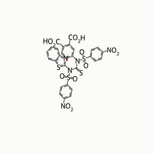 O=C(O)c1ccc(N(C(=S)N(c2nc3ccccc3s2)S(=O)(=O)c2ccc([N+](=O)[O-])cc2)S(=O)(=O)c2ccc([N+](=O)[O-])cc2)cc1C(=O)O